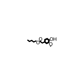 CCCCCOC(=O)Cc1ccc(O)c(OC)c1